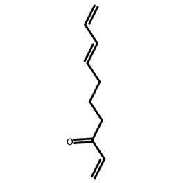 C=C/C=C/CCCC(=O)C=C